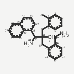 Cc1ccccc1CC(O)(Cc1ccccc1CN)C(N)c1cccc2ccccc12